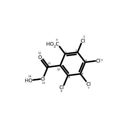 O=C(O)c1c(Cl)c(Cl)c(Cl)c(Cl)c1C(=O)OO